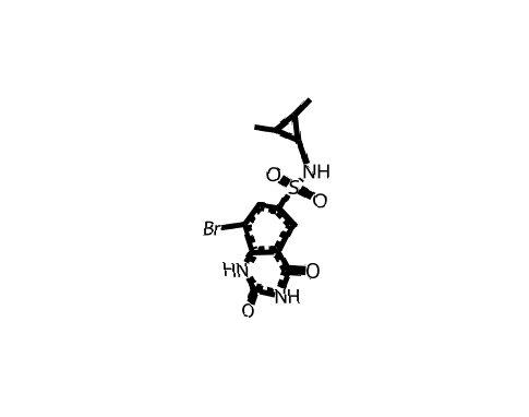 CC1C(C)C1NS(=O)(=O)c1cc(Br)c2[nH]c(=O)[nH]c(=O)c2c1